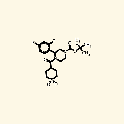 CC(C)(C)OC(=O)N1CCN(C(=O)C2CCS(=O)(=O)CC2)C(c2ccc(F)cc2F)C1